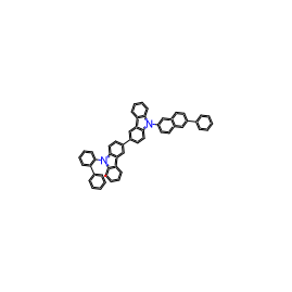 c1ccc(-c2ccc3cc(-n4c5ccccc5c5cc(-c6ccc7c(c6)c6ccccc6n7-c6ccccc6-c6ccccc6)ccc54)ccc3c2)cc1